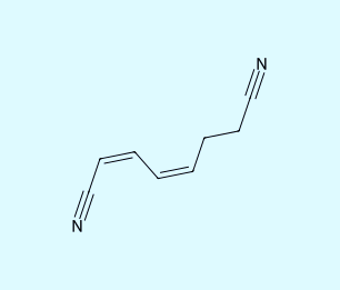 N#C/C=C\C=C/CCC#N